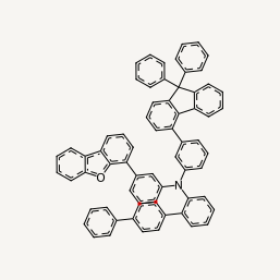 c1ccc(-c2ccc(-c3ccccc3N(c3cccc(-c4cccc5c4-c4ccccc4C5(c4ccccc4)c4ccccc4)c3)c3cccc(-c4cccc5c4oc4ccccc45)c3)cc2)cc1